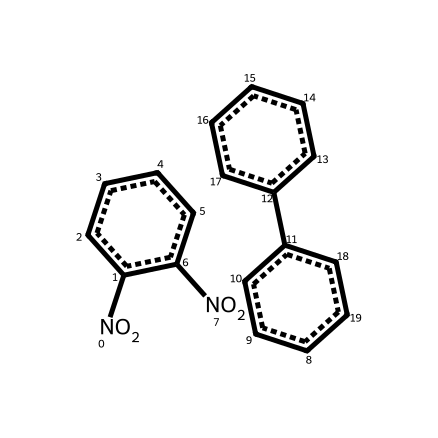 O=[N+]([O-])c1ccccc1[N+](=O)[O-].c1ccc(-c2ccccc2)cc1